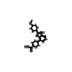 COC1CCC(c2nc3c(C4CCN(C(=O)O)CC4)ccnc3[nH]2)CC1